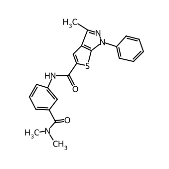 Cc1nn(-c2ccccc2)c2sc(C(=O)Nc3cccc(C(=O)N(C)C)c3)cc12